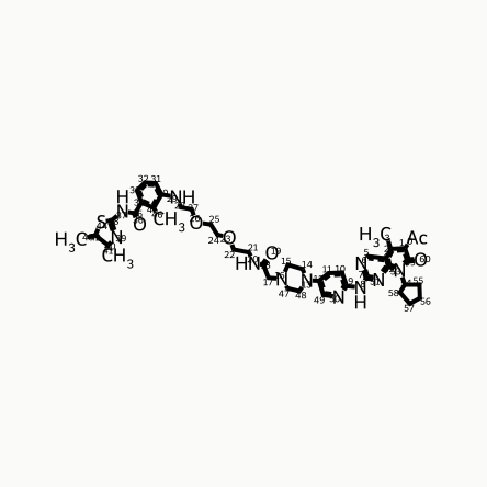 CC(=O)c1c(C)c2cnc(Nc3ccc(N4CCN(CC(=O)NCCOCCOCCNc5cccc(C(=O)NC6=NC(C)C(C)S6)c5C)CC4)cn3)nc2n(C2CCCC2)c1=O